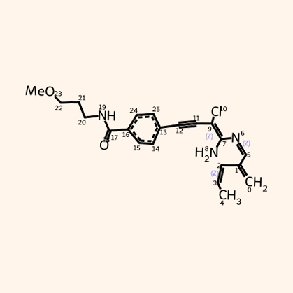 C=C(/C=C\C)/C=N\C(N)=C(/Cl)C#Cc1ccc(C(=O)NCCCOC)cc1